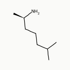 CC(C)CCC[C@@H](C)N